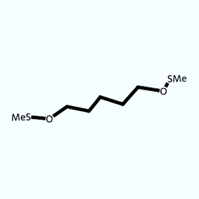 CSOCCCCCOSC